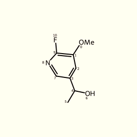 COc1cc(C(C)O)cnc1F